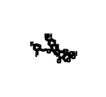 CC[C@@]1(O)C(=O)OCc2c1cc1n(c2=O)Cc2c-1nc1ccc(C=N)cc1c2OCCc1ccc(F)cc1F